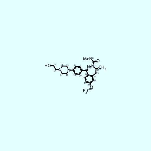 CNC(=O)N1N=C(c2ccc(N3CCN(CCO)CC3)cc2)c2ccc(OC(F)(F)F)cc2CC1C